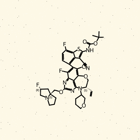 C=C[C@H]1COc2c(Cl)c(-c3ccc(F)c4sc(NC(=O)OC(C)(C)C)c(C#N)c34)c(F)c3nc(OC[C@@]45CCCN4C[C@H](F)C5)nc(c23)N1C1CCCOC1